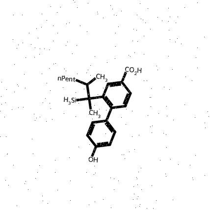 CCCCCC(C)C(C)([SiH3])c1cc(C(=O)O)ccc1-c1ccc(O)cc1